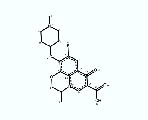 CC1COc2c(OC3CCN(C)CC3)c(F)cc3c(=O)c(C(=O)O)cn1c23